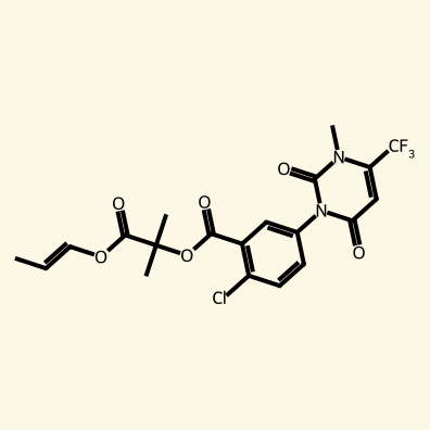 CC=COC(=O)C(C)(C)OC(=O)c1cc(-n2c(=O)cc(C(F)(F)F)n(C)c2=O)ccc1Cl